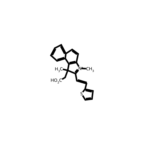 C[N+]1=C(/C=C/c2cccs2)C(C)(CC(=O)O)c2c1ccc1ccccc21